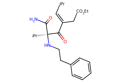 CCOC(=O)CC(=CC(C)C)C(=O)[C@@](NCCc1ccccc1)(C(N)=O)C(C)C